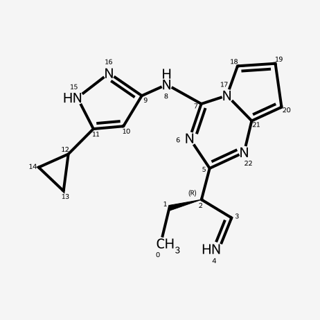 CC[C@H](C=N)c1nc(Nc2cc(C3CC3)[nH]n2)n2cccc2n1